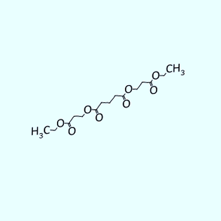 CCOC(=O)CCOC(=O)CCCC(=O)OCCC(=O)OCC